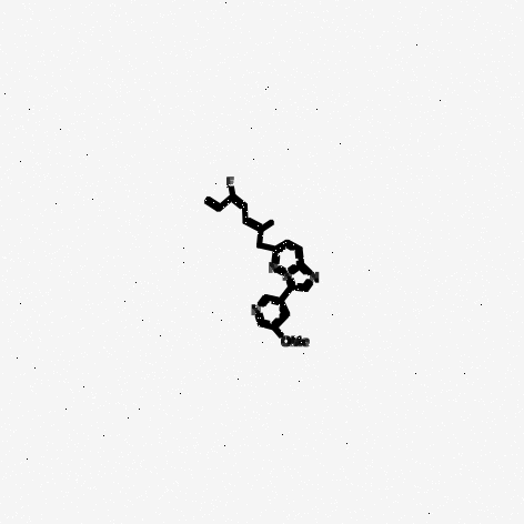 C=C/C(F)=C\C=C(/C)Cc1ccc2ncc(-c3cncc(OC)c3)n2n1